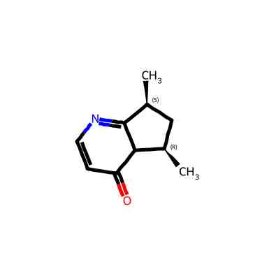 C[C@@H]1C[C@H](C)C2=NC=CC(=O)C21